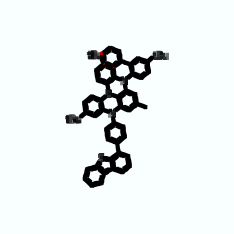 Cc1cc2c3c(c1)N(c1ccc(C(C)(C)C)cc1-c1ccccc1)c1cc(C(C)(C)C)ccc1B3c1ccc(C(C)(C)C)cc1N2c1ccc(-c2cccc3c2sc2ccccc23)cc1